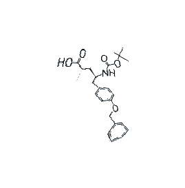 C[C@@H](C[C@H](Cc1ccc(OCc2ccccc2)cc1)NC(=O)OC(C)(C)C)C(=O)O